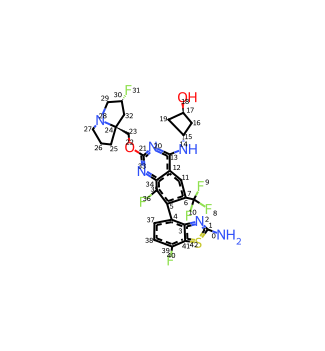 Nc1nc2c(-c3c(C(F)(F)F)cc4c(N[C@H]5C[C@H](O)C5)nc(OC[C@@]56CCCN5C[C@H](F)C6)nc4c3F)ccc(F)c2s1